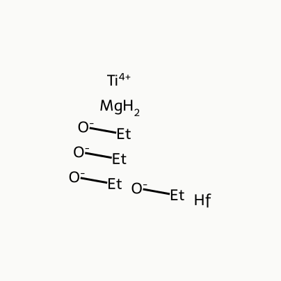 CC[O-].CC[O-].CC[O-].CC[O-].[Hf].[MgH2].[Ti+4]